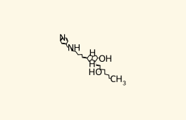 CCCCC[C@H](O)/C=C/[C@@H]1[C@H]2C/C(=C/CCCCNCc3ccncc3)C[C@H]2C[C@H]1O